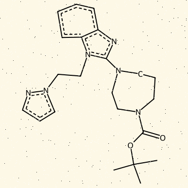 CC(C)(C)OC(=O)N1CCCN(c2nc3ccccc3n2CCn2cccn2)CC1